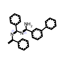 C=C(/N=C(\N=C(/N)c1cccc(-c2ccccc2)c1)c1ccccc1)c1ccccc1